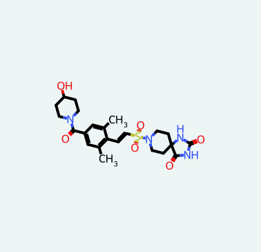 Cc1cc(C(=O)N2CCC(O)CC2)cc(C)c1/C=C/S(=O)(=O)N1CCC2(CC1)NC(=O)NC2=O